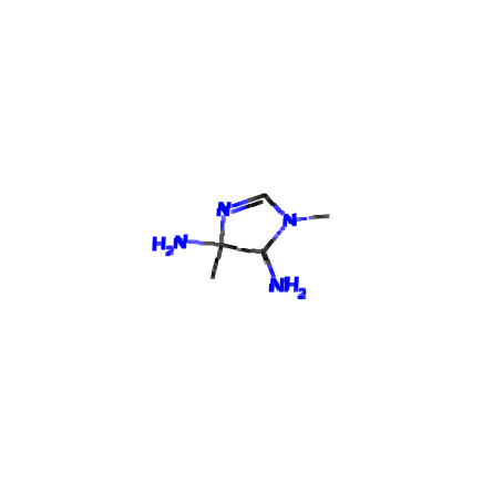 CN1C=NC(C)(N)C1N